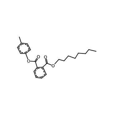 CCCCCCCCOC(=O)c1ccccc1C(=O)Oc1ccc(C)cc1